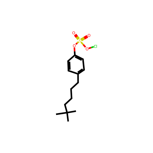 CC(C)(C)CCCCc1ccc(OS(=O)(=O)OCl)cc1